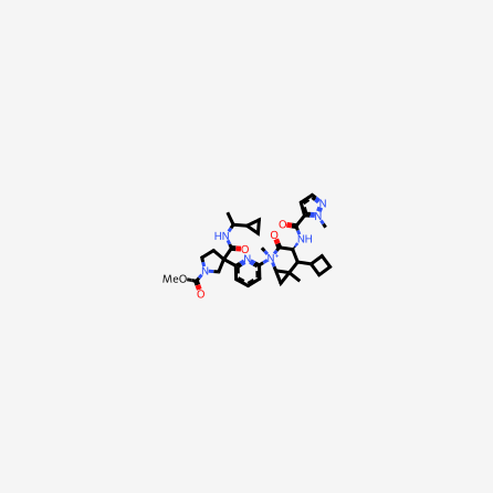 COC(=O)N1CCC(C(=O)NC(C)C2CC2)(c2cccc([N+]3(C)C(=O)[C@@H](NC(=O)c4ccnn4C)C(C4CCC4)C4(C)CC43)n2)C1